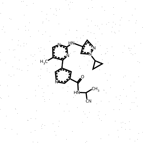 Cc1cnc(Nc2cnn(C3CC3)c2)nc1-c1cncc(C(=O)NC(C)C#N)c1